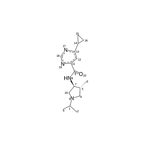 CC(C)N1C[C@@H](C)[C@H](NC(=O)c2cc(C3CC3)ncn2)C1